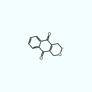 O=C1C2=C(CO[C]C2)C(=O)c2ccccc21